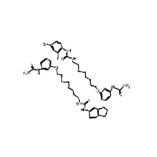 NC(=S)Nc1cccc(OCCCCCCCCNC(=S)Nc2ccc(Br)cc2F)c1.NC(=S)Nc1cccc(OCCCCCCCCNC(=S)Nc2ccc3c(c2)CCC3)c1